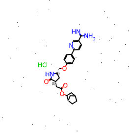 Cl.N=C(N)c1ccc(-c2ccc(OC[C@@H]3C[C@@H](CC(=O)OC4CC5CCC4C5)C(=O)N3)cc2)nc1